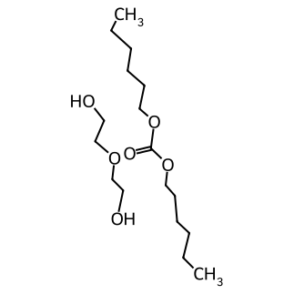 CCCCCCOC(=O)OCCCCCC.OCCOCCO